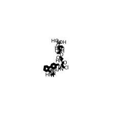 CCCCc1nc(Cl)c(C(=O)NCC(=O)O[C@H]2CO[C@H]3[C@@H]2OC[C@H]3ON(O)O)n1Cc1ccc(-c2ccccc2-c2nnn[nH]2)cc1